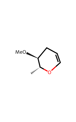 CO[C@H]1CC=CO[C@@H]1C